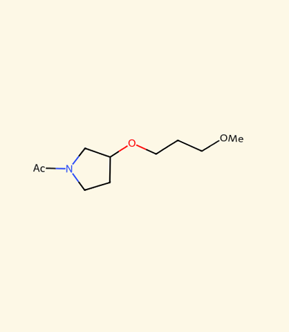 [CH2]C(=O)N1CCC(OCCCOC)C1